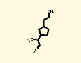 C=CC(C)C1CCC(CCC)C1